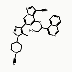 Cc1c(-c2cc(OC(CO)c3cncc4ccccc34)c3c(C#N)cnn3c2)nnn1C1CCN(C#N)CC1